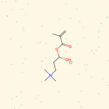 C=C(C)C(=O)OC(O)CC[N+](C)(C)C.[Cl-]